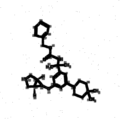 CC1(C)CCN(c2cc(C(C)(C)NC(=O)OCc3ccccc3)cc(OC3[C@H]4CNC[C@@H]34)n2)CC1